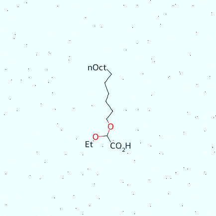 CCCCCCCCCCCCCCOC(OCC)C(=O)O